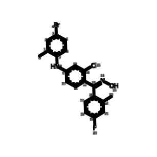 Cc1cc(Br)ccc1Nc1ccc(C(=NO)c2ccc(F)cc2C)c(Cl)c1